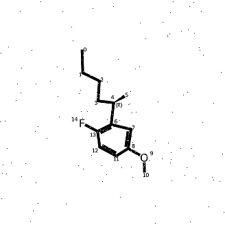 CCCC[C@@H](C)c1cc(OC)ccc1F